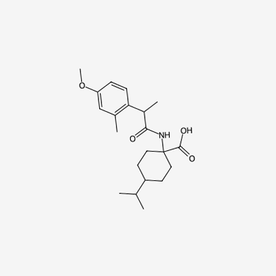 COc1ccc(C(C)C(=O)NC2(C(=O)O)CCC(C(C)C)CC2)c(C)c1